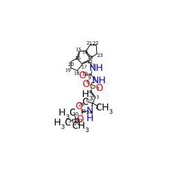 CC(C)(/C=C/S(=O)(=O)NC(=O)Nc1c2c(cc3c1CCC3)CCC2)NC(=O)OC(C)(C)C